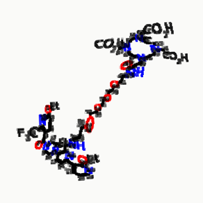 CCOc1ccc(C(=O)N2CCN(c3ccc(-c4cccnc4OCC)nc3CNCCCOCCOCCOCCOCCNC(=O)CN3CCN(CC(=O)O)CCN(CC(=O)O)CCN(CC(=O)O)CC3)C(CC)C2)c(C(F)(F)F)n1